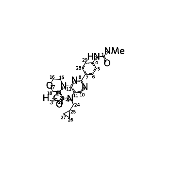 CNC(=O)Nc1ccc(-c2ncc3c(n2)N2CCOC[C@]2(C)C(=O)N3CC2CC2)cc1